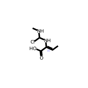 C/C=C(\NC(Cl)NC)C(=O)O